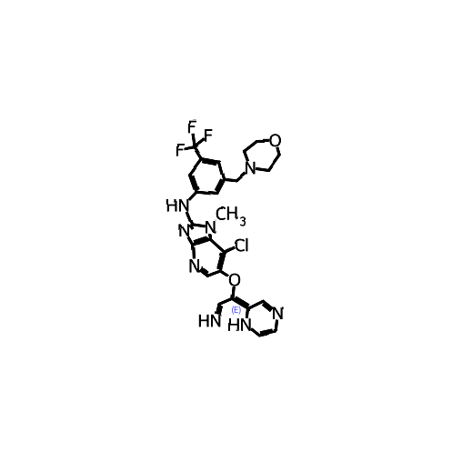 Cn1c(Nc2cc(CN3CCOCC3)cc(C(F)(F)F)c2)nc2ncc(O/C(C=N)=C3\C=NC=CN3)c(Cl)c21